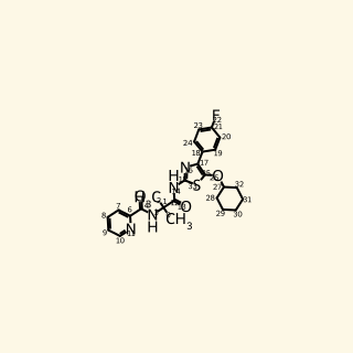 CC(C)(NC(=O)c1ccccn1)C(=O)Nc1nc(-c2ccc(F)cc2)c(OC2CCCCC2)s1